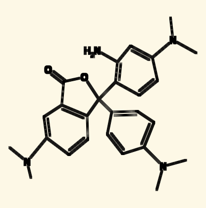 CN(C)c1ccc(C2(c3ccc(N(C)C)cc3N)OC(=O)c3cc(N(C)C)ccc32)cc1